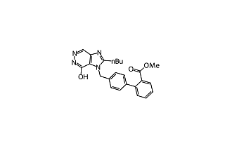 CCCCc1nc2cnnc(O)c2n1Cc1ccc(-c2ccccc2C(=O)OC)cc1